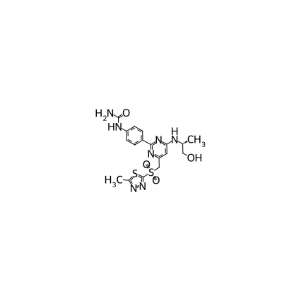 Cc1nnc(S(=O)(=O)Cc2cc(N[C@@H](C)CO)nc(-c3ccc(NC(N)=O)cc3)n2)s1